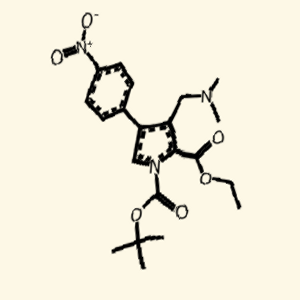 CCOC(=O)c1c(CN(C)C)c(-c2ccc([N+](=O)[O-])cc2)cn1C(=O)OC(C)(C)C